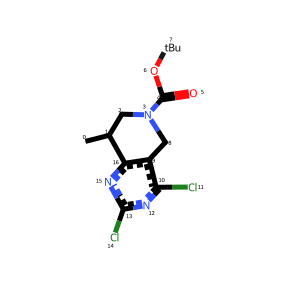 CC1CN(C(=O)OC(C)(C)C)Cc2c(Cl)nc(Cl)nc21